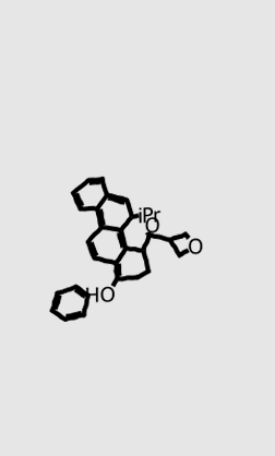 CC(C)C1C=c2ccccc2=c2ccc3c(c21)C(C(=O)C1COC1)CCC=3O.c1ccccc1